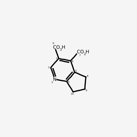 O=C(O)c1cnc2c(c1C(=O)O)CCC2